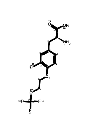 N[C@@H](Cc1ccc(OCCOC(F)(F)F)c(Cl)c1)C(=O)O